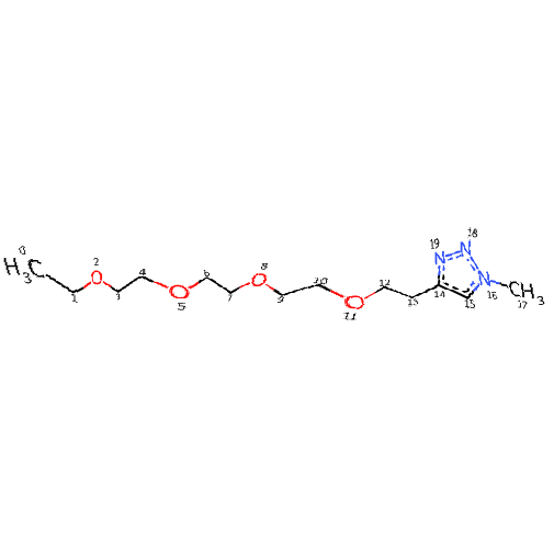 CCOCCOCCOCCOCCc1cn(C)nn1